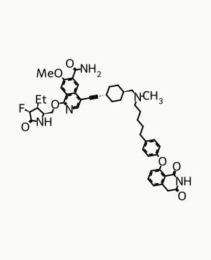 CC[C@@H]1[C@H](F)C(=O)N[C@@H]1COc1ncc(C#C[C@H]2CC[C@H](CN(C)CCCCCc3ccc(Oc4cccc5c4C(=O)NC(=O)C5)cc3)CC2)c2cc(C(N)=O)c(OC)cc12